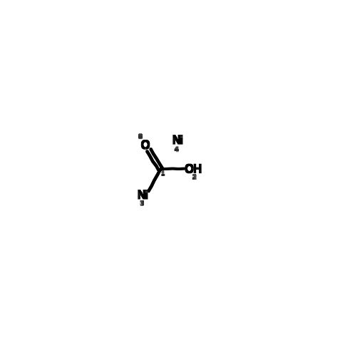 O=[C](O)[Ni].[Ni]